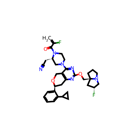 C=C(F)C(=O)N1CCN(c2nc(OC[C@@]34CCCN3C[C@H](F)C4)nc3c2CO[C@H](c2ccccc2C2CC2)C3)C[C@@H]1CC#N